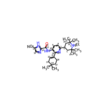 CCN1C(C)(C)CC(c2ccc(NC(=O)c3ncc(C#N)[nH]3)c(C3=CCC(C)(C)CC3)n2)CC1(C)C